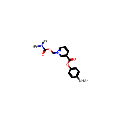 CC(=O)Nc1ccc(OC(=O)c2ccc[n+](COC(=O)N(C(C)C)C(C)C)c2)cc1